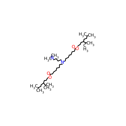 CC(C)CCC(CCCOC(=O)CCCCCCCN(CCCCCCCC(=O)OCCCC(CCC(C)C)C(C)C)CCCCN(C)C)C(C)C